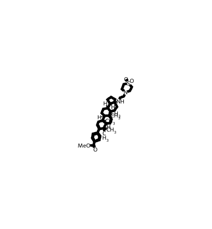 COC(=O)c1ccc(C2=CC[C@]3(C)[C@H]4CC[C@@H]5[C@H]6CCC[C@]6(NCCN6CCS(=O)(=O)CC6)CC[C@@]5(C)[C@]4(C)CC[C@H]3C2(C)C)cc1